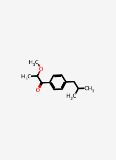 COC(C)C(=O)c1ccc(CC(C)C)cc1